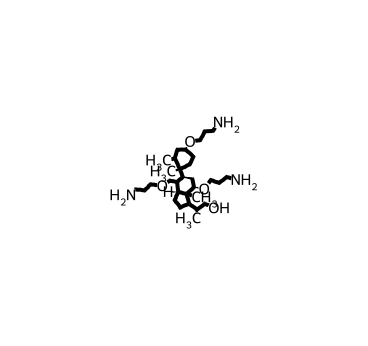 CC1C[C@H](OCCCN)CC[C@]1(C)[C@H]1C[C@H](OCCCN)C2(C)C([C@H](C)CO)CC[C@H]2C1COCCCN